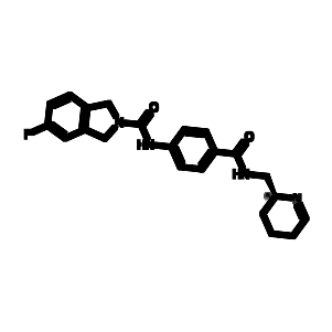 O=C(NC[C@@H]1CCCC=N1)c1ccc(NC(=O)N2Cc3ccc(F)cc3C2)cc1